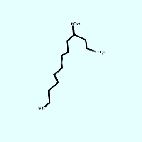 CCCCCCCCC(CCCCCCCCO)CCC(=O)O